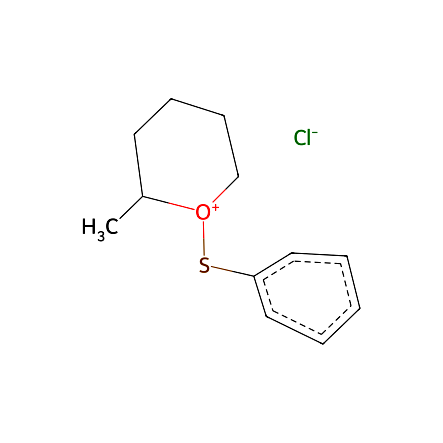 CC1CCCC[O+]1Sc1ccccc1.[Cl-]